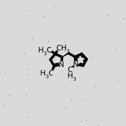 CC1=N[C@H](Cc2cccn2C)C(C)(C)C1